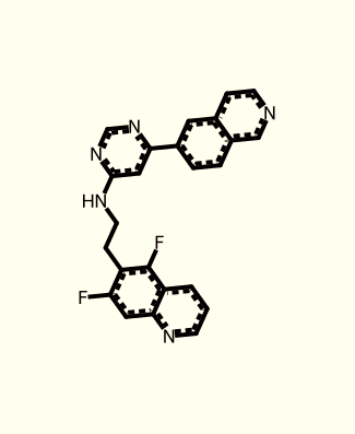 Fc1cc2ncccc2c(F)c1CCNc1cc(-c2ccc3cnccc3c2)ncn1